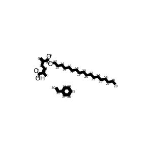 C=C(CC=C(C)C(=O)O)C(=O)OCCCCCCCCCCCCCCCCCC.C=Cc1ccccc1